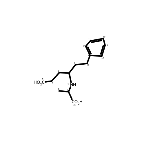 CC(NC(CCC(=O)O)CCc1ccccc1)C(=O)O